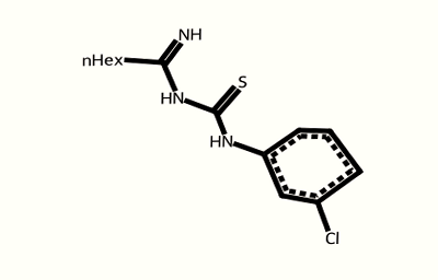 CCCCCCC(=N)NC(=S)Nc1cccc(Cl)c1